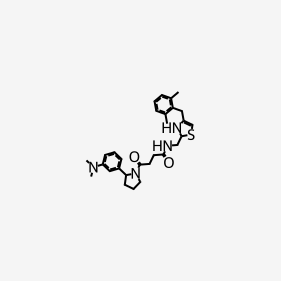 Cc1cccc(C)c1CC1=CSC(CNC(=O)CCC(=O)N2CCCC2c2cccc(N(C)C)c2)N1